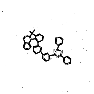 CC1(C)c2cccc(-c3cccc(-c4cccc(-c5nc(-c6ccccc6)nc(-c6ccccc6)n5)c4)c3)c2-c2c1ccc1ccccc21